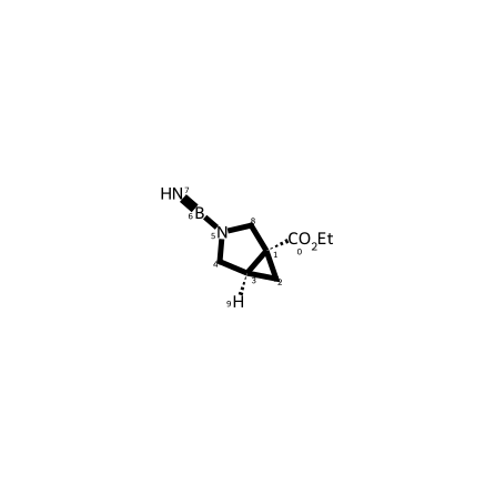 CCOC(=O)[C@]12C[C@H]1CN(B=N)C2